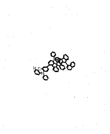 Cc1cc(-c2ccc(N(c3ccccc3)c3ccc4c(c3)-c3ccccc3C4c3cccc4ccccc34)c3c2-c2ccccc2C32c3ccccc3-c3ccccc32)ccc1N(c1ccccc1)c1ccccc1